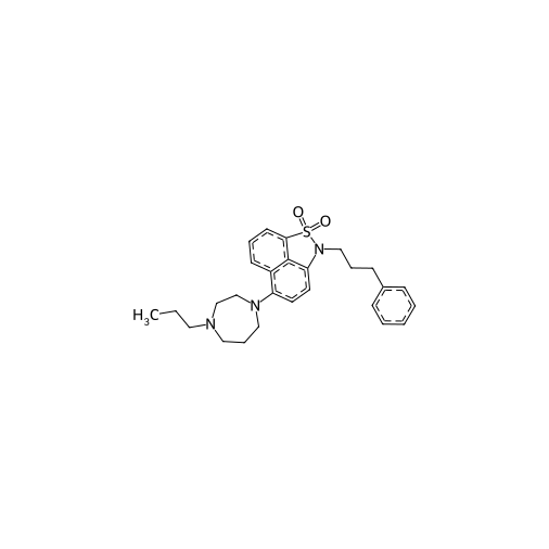 CCCN1CCCN(c2ccc3c4c(cccc24)S(=O)(=O)N3CCCc2ccccc2)CC1